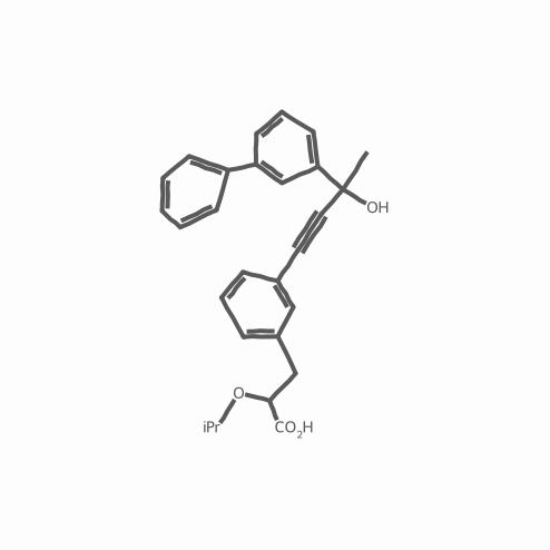 CC(C)OC(Cc1cccc(C#CC(C)(O)c2cccc(-c3ccccc3)c2)c1)C(=O)O